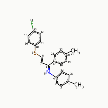 Cc1ccc(/N=C(/C=C/Sc2ccc(F)cc2)c2ccc(C)cc2)cc1